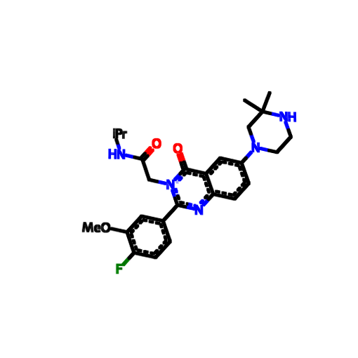 COc1cc(-c2nc3ccc(N4CCNC(C)(C)C4)cc3c(=O)n2CC(=O)NC(C)C)ccc1F